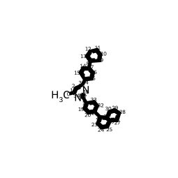 Cc1cc(-c2ccc(-c3ccccc3)cc2)nc(-c2ccc(-c3cccc4ccccc34)cc2)n1